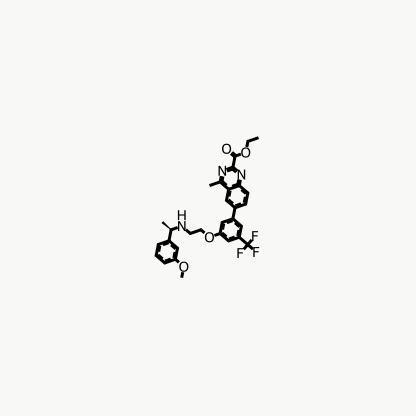 CCOC(=O)c1nc(C)c2cc(-c3cc(OCCN[C@H](C)c4cccc(OC)c4)cc(C(F)(F)F)c3)ccc2n1